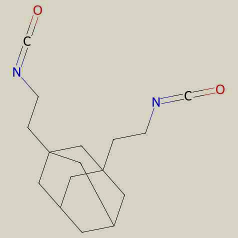 O=C=NCCC12CC3CC(C1)CC(CCN=C=O)(C3)C2